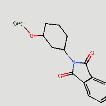 O=COC1CCCC(N2C(=O)c3ccccc3C2=O)C1